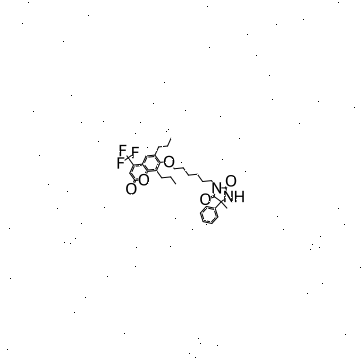 CCCc1cc2c(C(F)(F)F)cc(=O)oc2c(CCC)c1OCCCCCCN1C(=O)NC(C)(c2ccccc2)C1=O